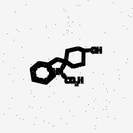 O=C(O)NC1(Cc2ccccc2)CCC(O)CC1